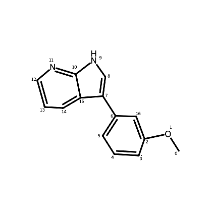 COc1[c]ccc(-c2c[nH]c3ncccc23)c1